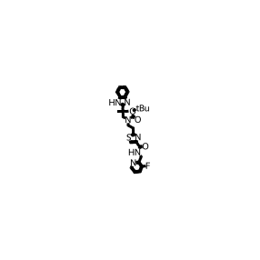 CC(C)(C)OC(=O)N(CCc1nc(C(=O)NCc2ncccc2F)cs1)CC(C)(C)c1nc2ccccc2[nH]1